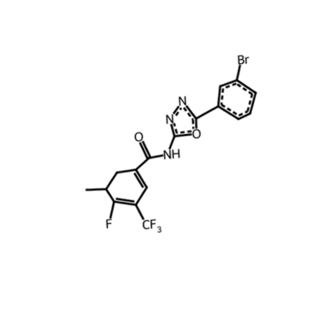 CC1CC(C(=O)Nc2nnc(-c3cccc(Br)c3)o2)=CC(C(F)(F)F)=C1F